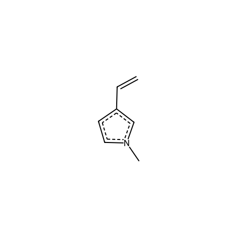 C=Cc1ccn(C)c1